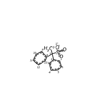 CC(c1ccccc1)(c1ccccc1)S(=O)(=O)Cl